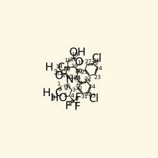 CC[C@@H](CC(O)C(F)(F)F)N1C(=O)[C@](C)(CC(=O)O)C[C@H](c2cccc(Cl)c2)[C@H]1c1ccc(Cl)cc1